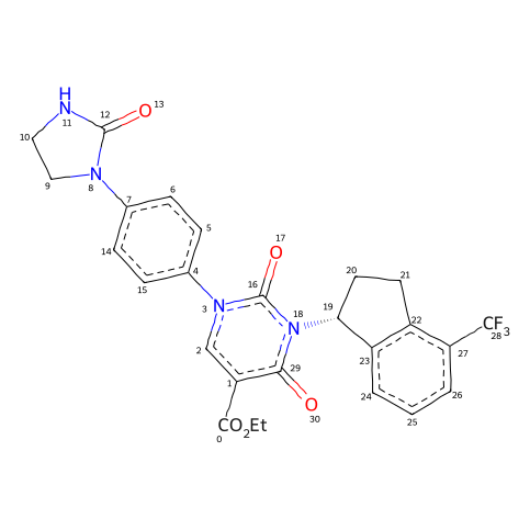 CCOC(=O)c1cn(-c2ccc(N3CCNC3=O)cc2)c(=O)n([C@@H]2CCc3c2cccc3C(F)(F)F)c1=O